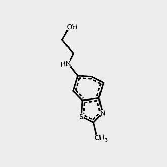 Cc1nc2ccc(NCCO)cc2s1